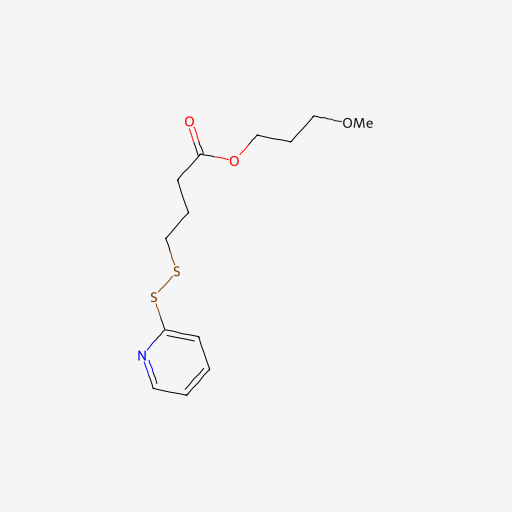 COCCCOC(=O)CCCSSc1ccccn1